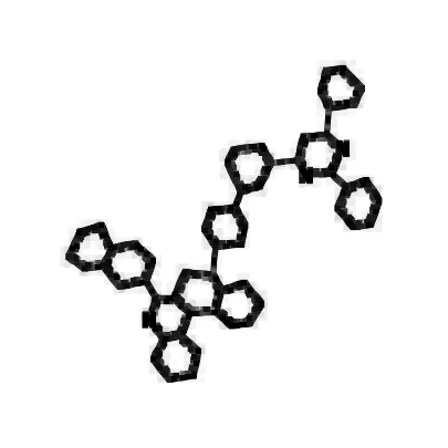 c1ccc(-c2cc(-c3cccc(-c4ccc(-c5cc6c(-c7ccc8ccccc8c7)nc7ccccc7c6c6ccccc56)cc4)c3)nc(-c3ccccc3)n2)cc1